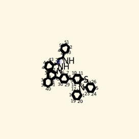 N=C(/C=C(\Nn1c2cc(-c3ccc4c(c3)N(c3ccccc3)c3ccccc3S4)ccc2c2c3c(ccc21)C=CCC3)c1ccccc1)c1ccccc1